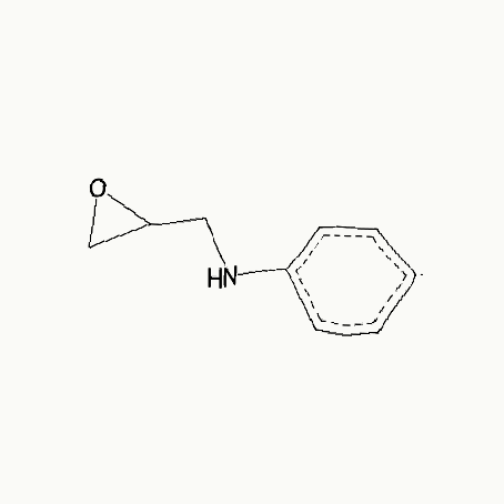 [c]1ccc(NCC2CO2)cc1